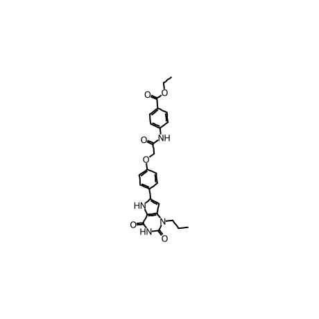 CCCn1c(=O)[nH]c(=O)c2[nH]c(-c3ccc(OCC(=O)Nc4ccc(C(=O)OCC)cc4)cc3)cc21